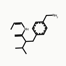 C=C(N/C=C\C)C(Cc1ccc(CN)cc1)C(C)C